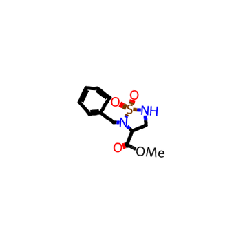 COC(=O)C1CNS(=O)(=O)N1Cc1ccccc1